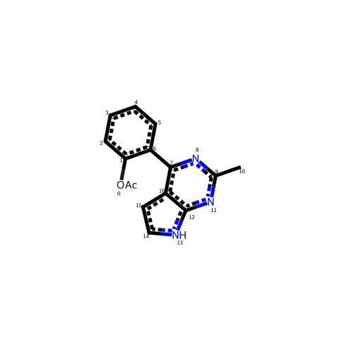 CC(=O)Oc1ccccc1-c1nc(C)nc2[nH]ccc12